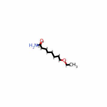 CCOCCCCCCCC(N)=O